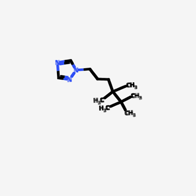 CC(C)(C)C(C)(C)CCCn1cncn1